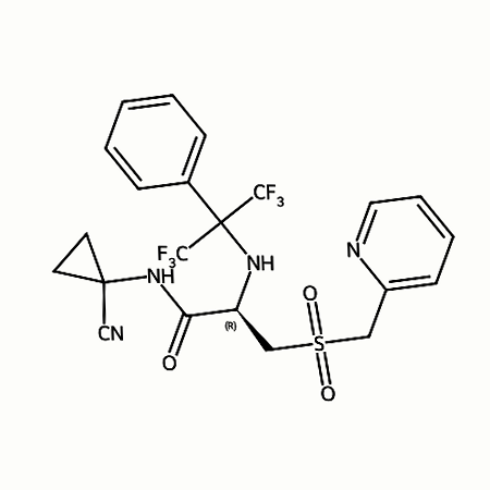 N#CC1(NC(=O)[C@H](CS(=O)(=O)Cc2ccccn2)NC(c2ccccc2)(C(F)(F)F)C(F)(F)F)CC1